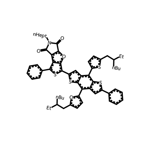 CCCCCCCN1C(=O)c2oc3c(-c4cc5c(-c6ccc(CC(CC)CCCC)s6)c6sc(-c7ccccc7)cc6c(-c6ccc(CC(CC)CCCC)o6)c5s4)sc(-c4ccccc4)c3c2C1=O